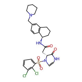 O=C(C[C@@H]1C(=O)NC=CN1S(=O)(=O)c1cccc(Cl)c1Cl)N[C@@H]1CCCc2cc(CN3CCCCC3)ccc21